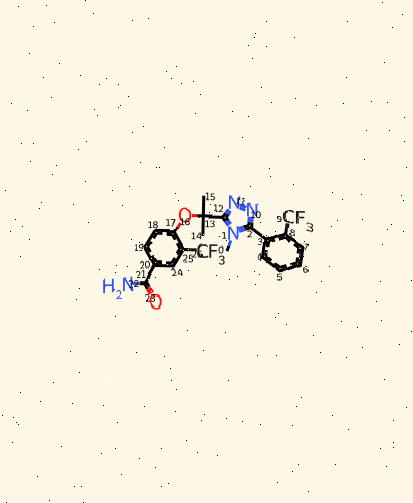 Cn1c(-c2ccccc2C(F)(F)F)nnc1C(C)(C)Oc1ccc(C(N)=O)cc1C(F)(F)F